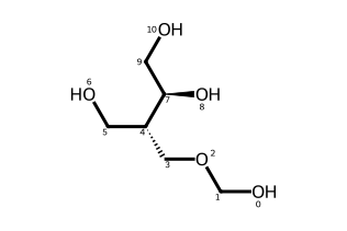 OCOC[C@H](CO)[C@H](O)CO